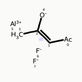 CC(=O)/C=C(/C)[O-].[Al+3].[F-].[F-]